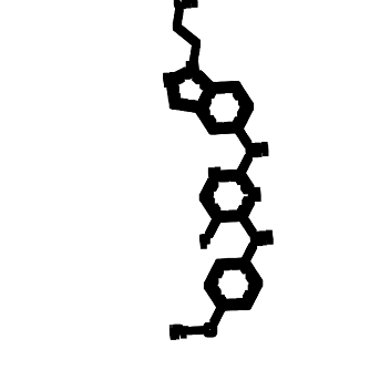 CC(C)Oc1ccc(Nc2nc(Nc3ccc4c(cnn4CCO)c3)ncc2F)cc1